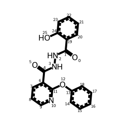 O=C(NNC(=O)c1cccnc1Oc1ccccc1)c1ccccc1O